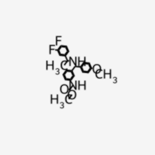 COC(=O)Nc1cccc(C(NC(C)c2ccc(F)c(F)c2)c2ccc(OC)cc2)c1